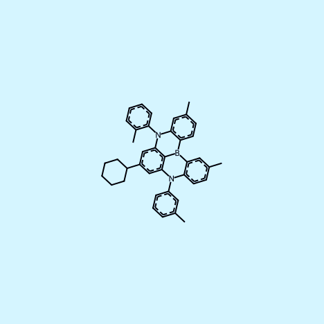 Cc1cccc(N2c3ccc(C)cc3B3c4ccc(C)cc4N(c4ccccc4C)c4cc(C5CCCCC5)cc2c43)c1